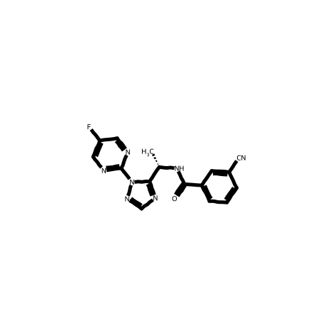 C[C@H](NC(=O)c1cccc(C#N)c1)c1ncnn1-c1ncc(F)cn1